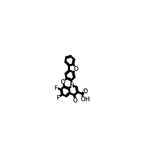 O=C(O)c1cn2c3c(c(F)c(F)cc3c1=O)Oc1cc3c(cc1-2)oc1ccccc13